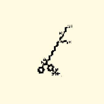 NS(=O)(=O)c1ccc(-c2c(-c3ccccc3)noc2CCCCCCCCN(CCS)CCNCCS)cc1